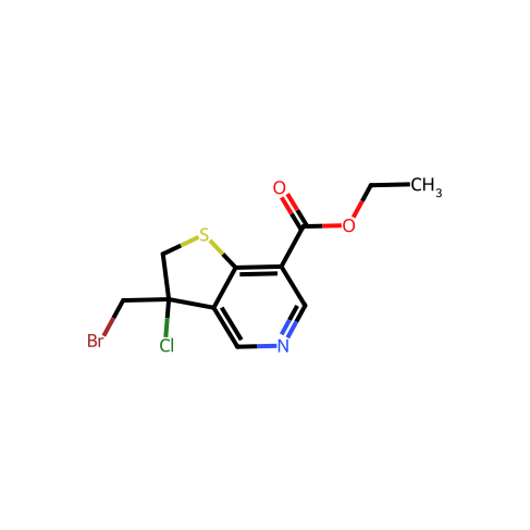 CCOC(=O)c1cncc2c1SCC2(Cl)CBr